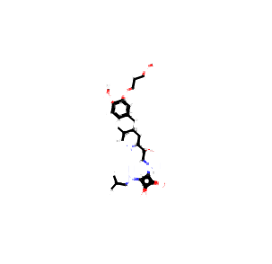 COCCCOc1cc(C[C@@H](C[C@H](N)[C@@H](O)CNc2c(NCC(C)C)c(=O)c2=O)C(C)C)ccc1OC